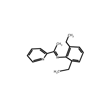 CCc1cccc(CC)c1N=C(C)c1ccccn1